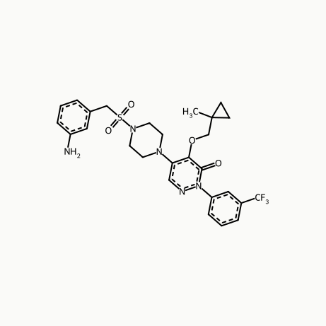 CC1(COc2c(N3CCN(S(=O)(=O)Cc4cccc(N)c4)CC3)cnn(-c3cccc(C(F)(F)F)c3)c2=O)CC1